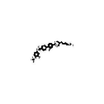 C/C=C/CCC1COC(c2ccc(C3CCC(C(F)(F)Oc4ccc(OC(F)(F)F)c(F)c4)CC3)c(F)c2)OC1